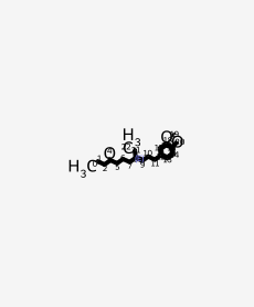 CCCC(=O)CCC/C(=C/CCc1ccc2c(c1)OCO2)CC